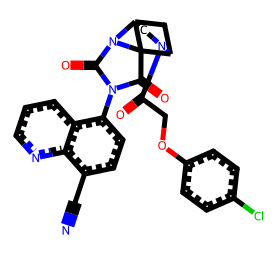 N#Cc1ccc(N2C(=O)N3C45CC(N(C(=O)COc6ccc(Cl)cc6)C4)C35C2=O)c2cccnc12